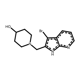 OC1CCN(Cc2[nH]c3ncccc3c2Br)CC1